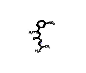 C[C@H](CC(=O)/N=C/N(C)C)c1cccc([N+](=O)[O-])c1